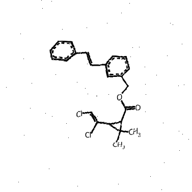 CC1(C)C(C(=O)OCc2cccc(C=Cc3ccccc3)c2)C1C(Cl)=CCl